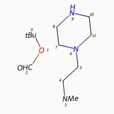 CC(C)(C)OC=O.CNCCN1CCNCC1